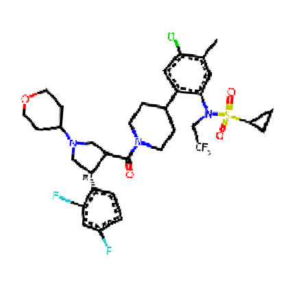 Cc1cc(N(CC(F)(F)F)S(=O)(=O)C2CC2)c(C2CCN(C(=O)C3CN(C4CCOCC4)C[C@H]3c3ccc(F)cc3F)CC2)cc1Cl